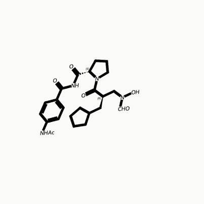 CC(=O)Nc1ccc(C(=O)NC(=O)[C@@H]2CCCN2C(=O)[C@H](CC2CCCC2)CN(O)C=O)cc1